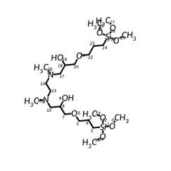 CO[Si](CCCOCC(O)CN(C)CCN(C)CC(O)COCCC[Si](OC)(OC)OC)(OC)OC